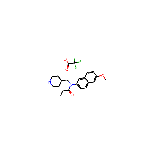 CCC(=O)N(CC1CCNCC1)c1ccc2cc(OC)ccc2c1.O=C(O)C(F)(F)F